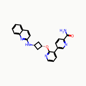 NC(=O)c1ccc(-c2cccnc2O[C@H]2C[C@H](Nc3ccc4ccccc4n3)C2)cn1